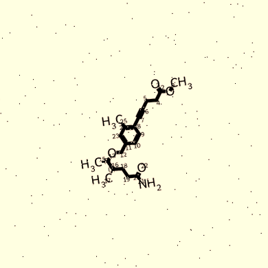 COC(=O)CCC#Cc1ccc(CO[C@H](C)[C@@H](C)CCC(N)=O)cc1C